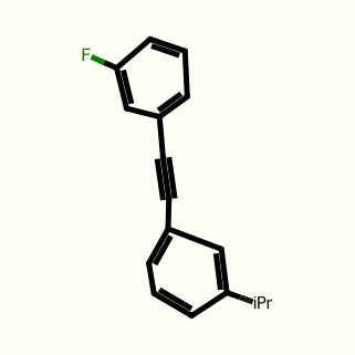 CC(C)c1cccc(C#Cc2cccc(F)c2)c1